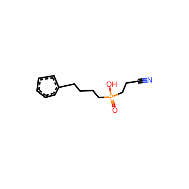 N#CCCP(=O)(O)CCCCc1ccccc1